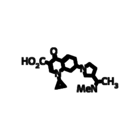 CNC(C)C1CCN(C2CC=C3C(=O)C(C(=O)O)=CN(C4CC4)C3C2)C1